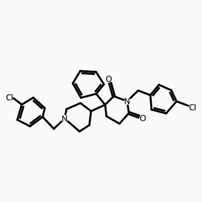 O=C1CCC(c2ccccc2)(C2CCN(Cc3ccc(Cl)cc3)CC2)C(=O)N1Cc1ccc(Cl)cc1